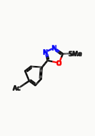 CSc1nnc(-c2ccc(C(C)=O)cc2)o1